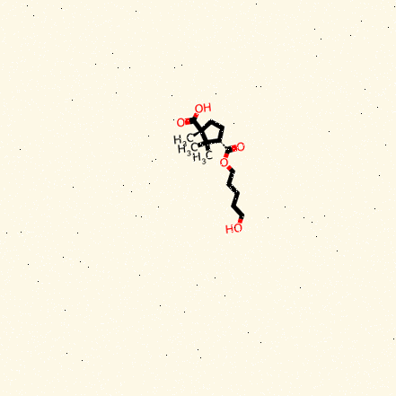 CC1(C)[C@@H](C(=O)OCCCCCO)CC[C@@]1(C)C(=O)O